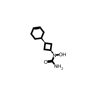 NC(=O)N(O)[C@H]1C[C@@H](C2CC=CCC2)C1